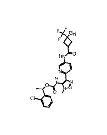 C[C@@H](OC(=O)Nc1c(-c2ccc(NC(=O)C3CC(O)(C(F)(F)F)C3)cn2)nnn1C)c1ccccc1Cl